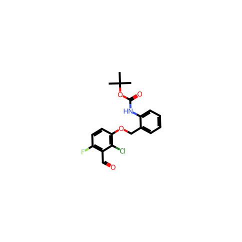 CC(C)(C)OC(=O)Nc1ccccc1COc1ccc(F)c(C=O)c1Cl